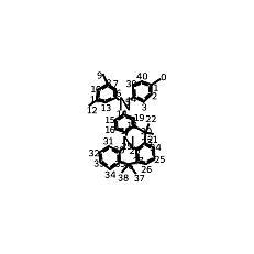 Cc1ccc(N(c2cc(C)cc(C)c2)c2ccc3c(c2)C(C)(C)c2cccc4c2N3c2ccccc2C4(C)C)cc1